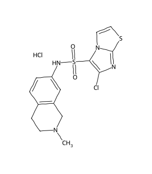 CN1CCc2ccc(NS(=O)(=O)c3c(Cl)nc4sccn34)cc2C1.Cl